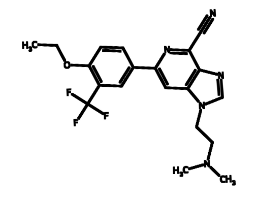 CCOc1ccc(-c2cc3c(ncn3CCN(C)C)c(C#N)n2)cc1C(F)(F)F